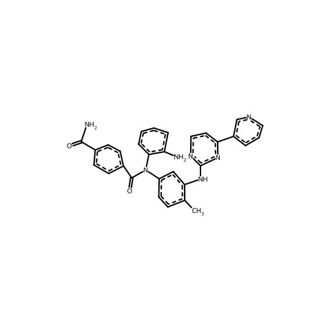 Cc1ccc(N(C(=O)c2ccc(C(N)=O)cc2)c2ccccc2N)cc1Nc1nccc(-c2cccnc2)n1